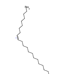 CCCCCCCCCCCC/C=C\CCCCCCCN